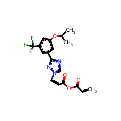 C=CC(=O)OC(=O)/C=C\n1cnc(-c2cc(OC(C)C)cc(C(F)(F)F)c2)n1